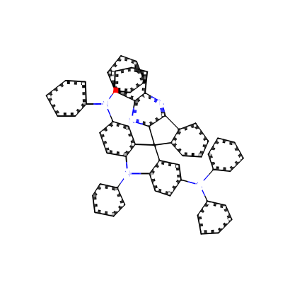 c1ccc(N(c2ccccc2)c2ccc3c(c2)C2(c4ccccc4-c4nc5ccccc5nc42)c2cc(N(c4ccccc4)c4ccccc4)ccc2N3c2ccccc2)cc1